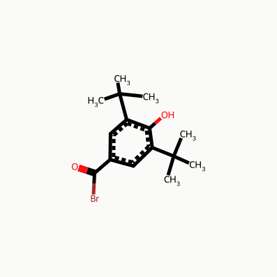 CC(C)(C)c1cc(C(=O)Br)cc(C(C)(C)C)c1O